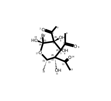 CC(=O)[C@]1(O)[C@@](O)(C(C)=O)[C@@](O)(C(C)=O)[C@H](C)O[C@]1(O)Br